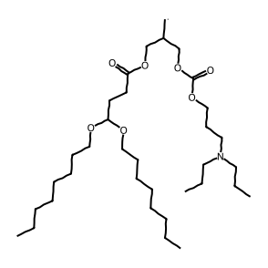 [CH2]C(COC(=O)CCC(OCCCCCCCC)OCCCCCCCC)COC(=O)OCCCN(CCC)CCC